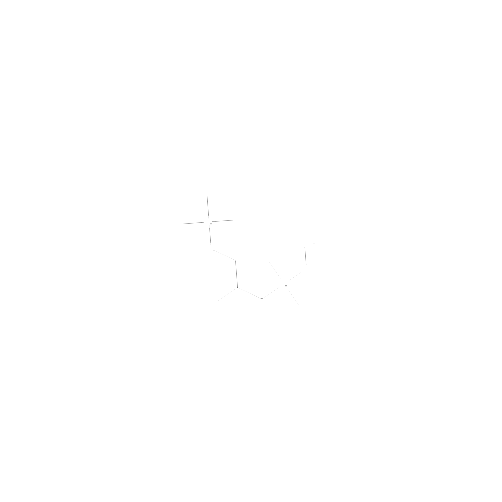 CCCCO[Si](C)(C)CC(C)CS[Si](C)(C)C